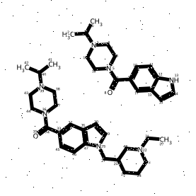 CC(C)N1CCN(C(=O)c2ccc3[nH]ccc3c2)CC1.CCN1CCCC(Cn2ccc3cc(C(=O)N4CCN(C(C)C)CC4)ccc32)C1